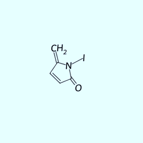 C=C1C=CC(=O)N1I